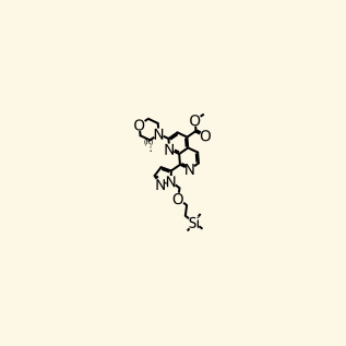 COC(=O)c1cc(N2CCOC[C@H]2C)nc2c(-c3ccnn3COCC[Si](C)(C)C)nccc12